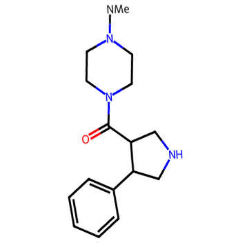 CNN1CCN(C(=O)C2CNCC2c2ccccc2)CC1